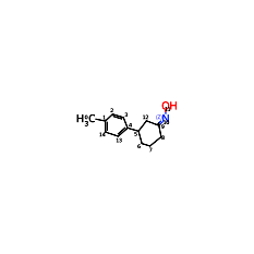 Cc1ccc(C2CCC/C(=N/O)C2)cc1